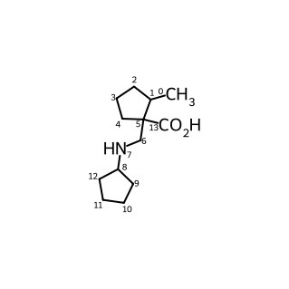 CC1CCCC1(CNC1CCCC1)C(=O)O